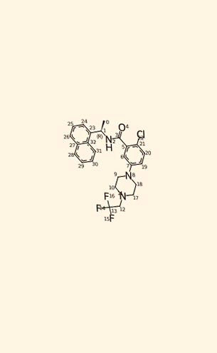 C[C@@H](NC(=O)c1cc(N2CCN(CC(F)(F)F)CC2)ccc1Cl)c1cccc2ccccc12